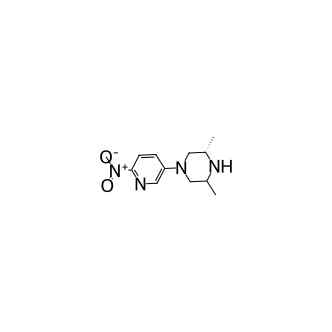 CC1CN(c2ccc([N+](=O)[O-])nc2)C[C@H](C)N1